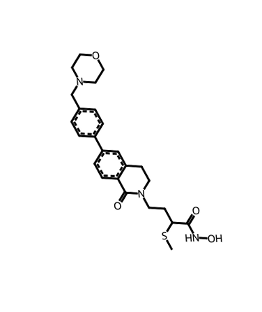 CSC(CCN1CCc2cc(-c3ccc(CN4CCOCC4)cc3)ccc2C1=O)C(=O)NO